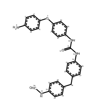 Nc1ccc(Oc2ccc(NC(=O)Nc3ccc(Cc4ccc(NC=O)cc4)cc3)cc2)cc1